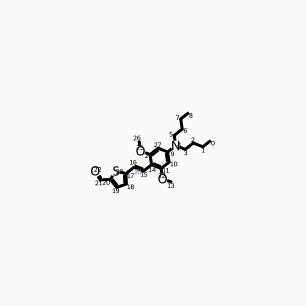 CCCCN(CCCC)c1cc(OC)c(/C=C/c2ccc(C=O)s2)c(OC)c1